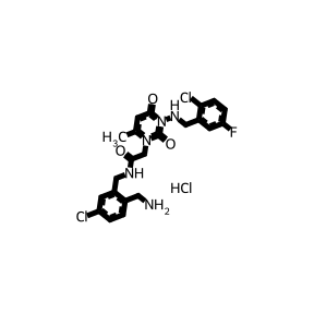 Cc1cc(=O)n(NCc2cc(F)ccc2Cl)c(=O)n1CC(=O)NCc1cc(Cl)ccc1CN.Cl